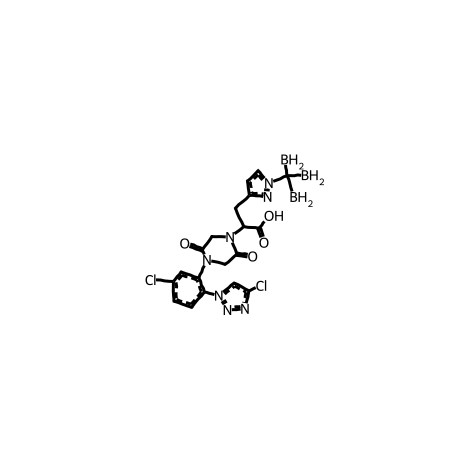 BC(B)(B)n1ccc(CC(C(=O)O)N2CC(=O)N(c3cc(Cl)ccc3-n3cc(Cl)nn3)CC2=O)n1